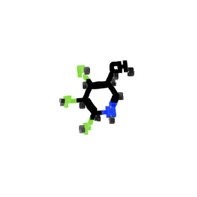 Cc1cnc(F)c(F)c1F